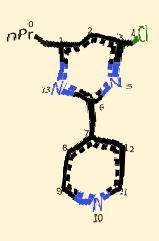 CCCc1cc(Cl)nc(-c2ccncc2)n1